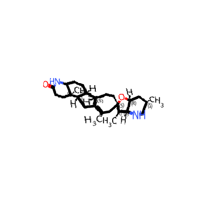 CC1=C2C[C@H]3[C@@H](CCC4NC(=O)CC[C@@]43C)[C@@H]2CC[C@@]2(C1)O[C@@H]1C[C@H](C)CN[C@H]1[C@H]2C